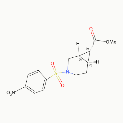 COC(=O)[C@H]1[C@@H]2CN(S(=O)(=O)c3ccc([N+](=O)[O-])cc3)CC[C@@H]21